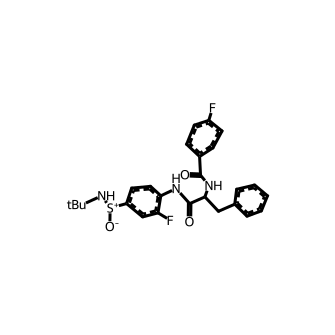 CC(C)(C)N[S+]([O-])c1ccc(NC(=O)C(Cc2ccccc2)NC(=O)c2ccc(F)cc2)c(F)c1